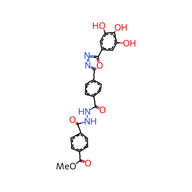 COC(=O)c1ccc(C(=O)NNC(=O)c2ccc(-c3nnc(-c4cc(O)c(O)c(O)c4)o3)cc2)cc1